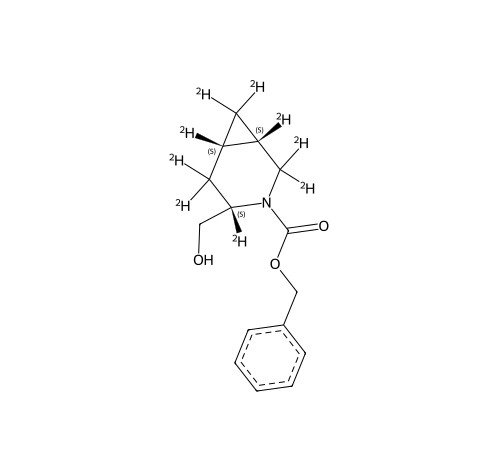 [2H]C1([2H])N(C(=O)OCc2ccccc2)[C@]([2H])(CO)C([2H])([2H])[C@]2([2H])C([2H])([2H])[C@]12[2H]